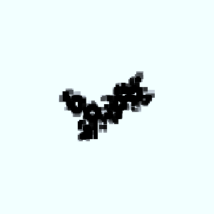 C=CC(=O)NC1CC(N2CCN(CC)CC2)CCC1Nc1ncc2c(n1)N(C)C(=O)C(c1c(Cl)c(OC)cc(OC)c1Cl)C2